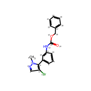 Cn1ncc(Br)c1-c1cccc(NC(=O)OCc2ccccc2)c1